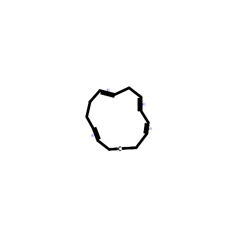 [CH]1/C=C/C/C=C/C=C\CCC/C=C/C1